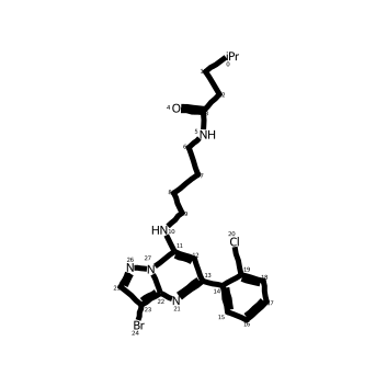 CC(C)CCC(=O)NCCCCNc1cc(-c2ccccc2Cl)nc2c(Br)cnn12